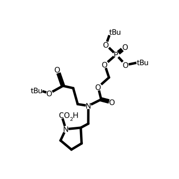 CC(C)(C)OC(=O)CCN(CC1CCCN1C(=O)O)C(=O)OCOP(=O)(OC(C)(C)C)OC(C)(C)C